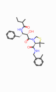 CCC(C)C(=O)N[C@@H](Cc1ccccc1)[C@H](O)C(=O)N1CSC(C)(C)[C@H]1C(=O)NCc1ccccc1C